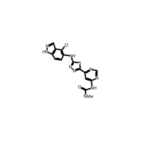 CNC(=O)Nc1cc(-c2nnc(Nc3ccc4[nH]ncc4c3Cl)s2)ncn1